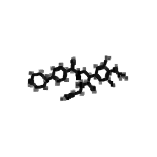 COc1c(I)cc(C(CNC(=O)c2ccc(N3CCOCC3)cc2)C(=O)NCC#N)cc1I